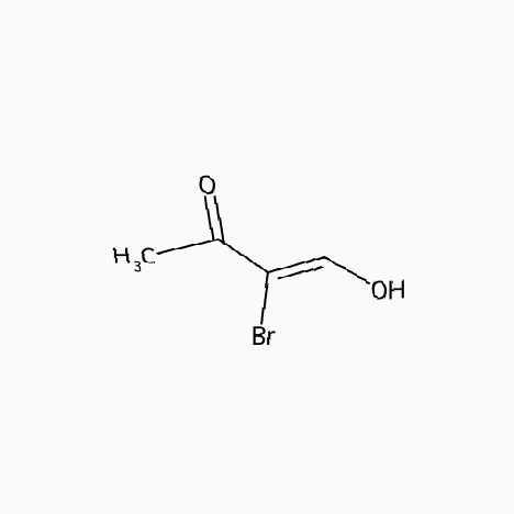 CC(=O)C(Br)=CO